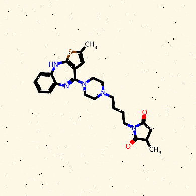 Cc1cc2c(s1)Nc1ccccc1N=C2N1CCN(CCCCN2C(=O)CC(C)C2=O)CC1